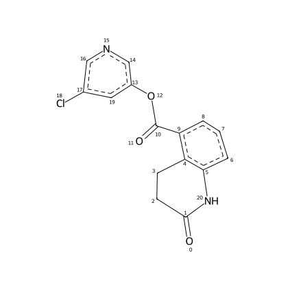 O=C1CCc2c(cccc2C(=O)Oc2cncc(Cl)c2)N1